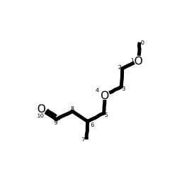 COCCOCC(C)C[C]=O